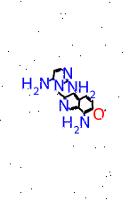 COc1ccc2cc(CN3C(N)=NC=CC3N)ncc2c1N